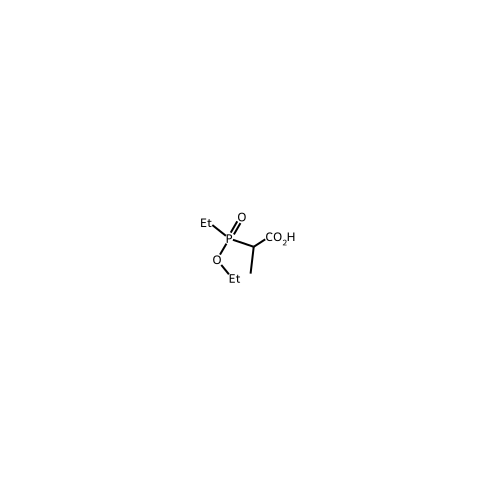 CCOP(=O)(CC)C(C)C(=O)O